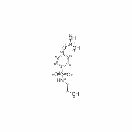 O=S(=O)(NCCO)c1ccc(OB(O)O)cc1